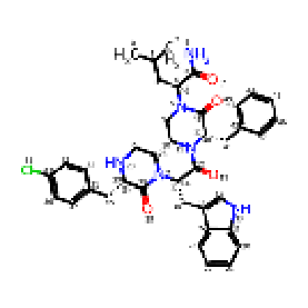 CC(C)C[C@@H](C(N)=O)N1CCN(C(=O)[C@H](Cc2c[nH]c3ccccc23)N2CCN[C@@H](Cc3ccc(Cl)cc3)C2=O)[C@@H](Cc2ccccc2)C1=O